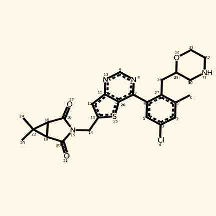 Cc1cc(Cl)cc(-c2ncnc3cc(CN4C(=O)C5C(C4=O)C5(C)C)sc23)c1CC1CNCCO1